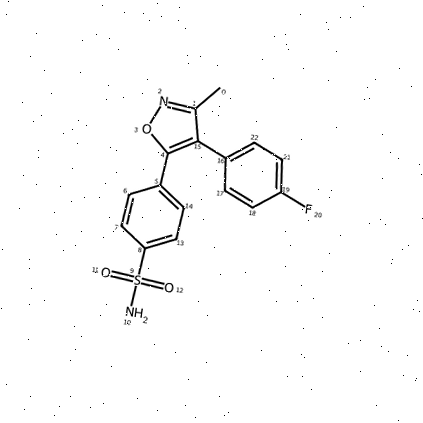 Cc1noc(-c2ccc(S(N)(=O)=O)cc2)c1-c1ccc(F)cc1